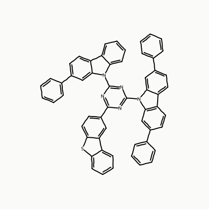 c1ccc(-c2ccc3c4ccccc4n(-c4nc(-c5ccc6sc7ccccc7c6c5)nc(-n5c6cc(-c7ccccc7)ccc6c6ccc(-c7ccccc7)cc65)n4)c3c2)cc1